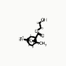 CC(C)C12CCC(C)(CC1)C(C(=O)OCCO)C2